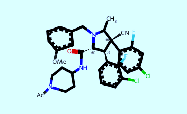 COc1cccc(CN2C(C)[C@](C#N)(c3ccc(Cl)cc3F)[C@@H](c3cccc(Cl)c3F)[C@@H]2C(=O)NC2CCN(C(C)=O)CC2)c1